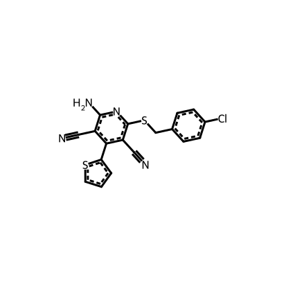 N#Cc1c(N)nc(SCc2ccc(Cl)cc2)c(C#N)c1-c1cccs1